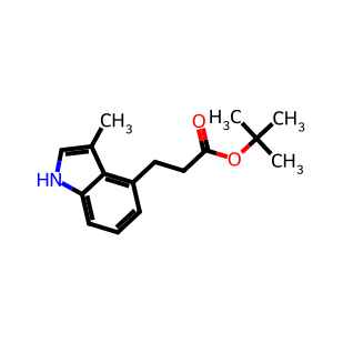 Cc1c[nH]c2cccc(CCC(=O)OC(C)(C)C)c12